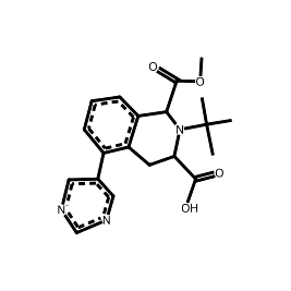 COC(=O)C1c2cccc(-c3cncnc3)c2CC(C(=O)O)N1C(C)(C)C